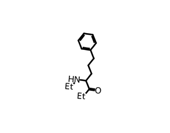 CCNC(CCCc1ccccc1)C(=O)CC